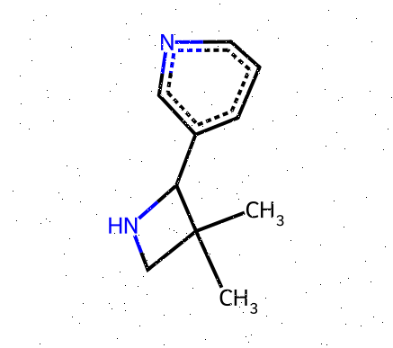 CC1(C)CNC1c1cccnc1